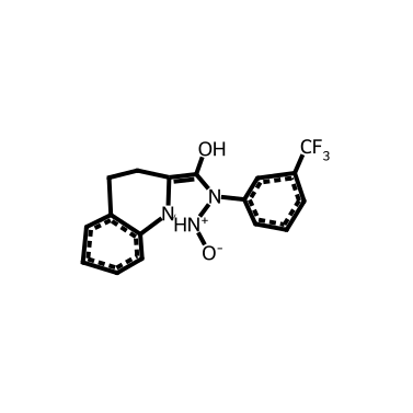 [O-][NH+]1N(c2cccc(C(F)(F)F)c2)C(O)=C2CCc3ccccc3N21